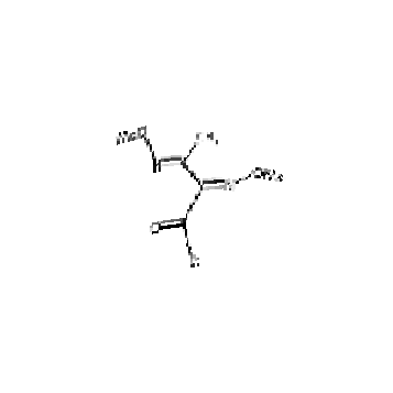 CCC(=O)C(=NOC)C(C)=NOC